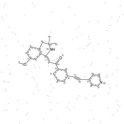 COc1ccc2c(c1)/C(=C/C(=O)c1cccc(C#Cc3ccncc3)c1)NC(C)(C)C2